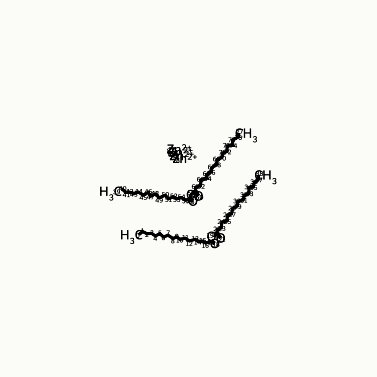 CCCCCCCCCCCCCCCCCC(=O)OC(=O)CCCCCCCCCCCCCCCCC.CCCCCCCCCCCCCCCCCC(=O)OC(=O)CCCCCCCCCCCCCCCCC.[Zn+2].[Zn+2].[Zn+2].[Zn+2]